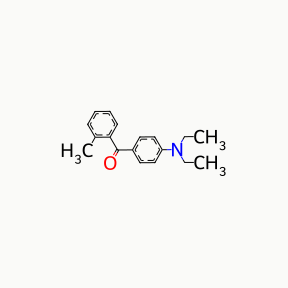 CCN(CC)c1ccc(C(=O)c2ccccc2C)cc1